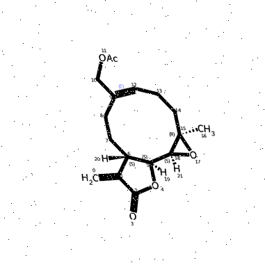 C=C1C(=O)O[C@H]2[C@H]1CC/C(COC(C)=O)=C\CC[C@@]1(C)O[C@@H]21